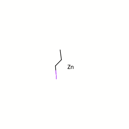 CCCI.[Zn]